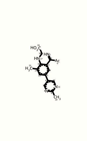 CC(=O)C(=N)c1cc(-c2cnc(C)nc2)cc(C)c1NCC(=O)O